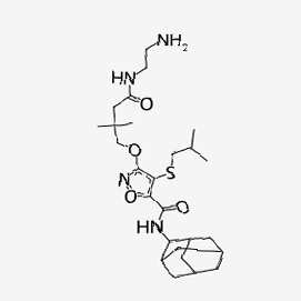 CC(C)CSc1c(OCC(C)(C)CC(=O)NCCN)noc1C(=O)NC1C2CC3CC(C2)CC1C3